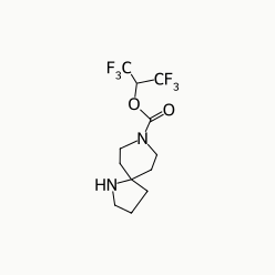 O=C(OC(C(F)(F)F)C(F)(F)F)N1CCC2(CCCN2)CC1